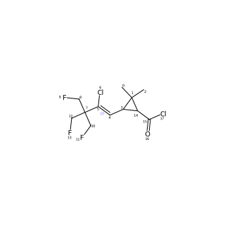 CC1(C)C(/C=C(\Cl)C(CF)(CF)CF)C1C(=O)Cl